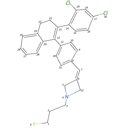 FCCCN1CC(=Cc2ccc(C3=C(c4ccc(Cl)cc4Cl)CCc4ccccc43)cc2)C1